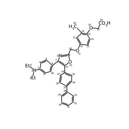 CCN(CC)c1ccc(-c2nc(COc3ccc(OCC(=O)O)c(C)c3)oc2-c2ccc(-c3ccccc3)cc2)cc1